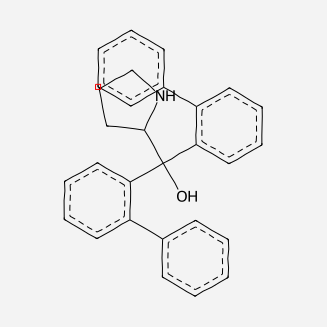 OC(c1ccccc1-c1ccccc1)(c1ccccc1-c1ccccc1)C1CCCN1